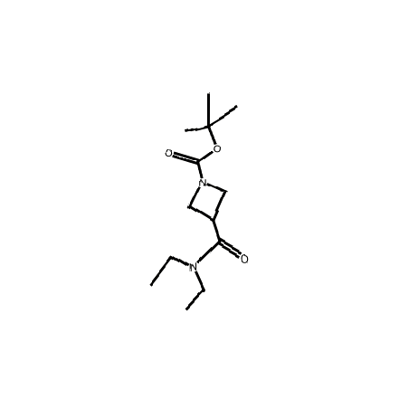 CCN(CC)C(=O)C1CN(C(=O)OC(C)(C)C)C1